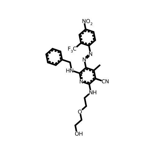 Cc1c(C#N)c(NCCOCCO)nc(NCc2ccccc2)c1N=Nc1ccc([N+](=O)[O-])cc1C(F)(F)F